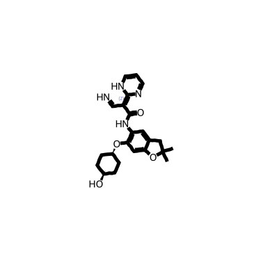 CC1(C)Cc2cc(NC(=O)/C(C=N)=C3\N=CC=CN3)c(O[C@H]3CC[C@H](O)CC3)cc2O1